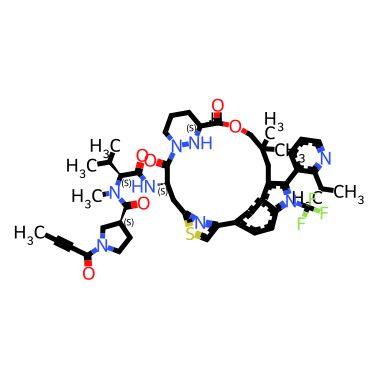 CC#CC(=O)N1CC[C@H](C(=O)N(C)[C@H](C(=O)N[C@H]2Cc3nc(cs3)-c3ccc4c(c3)c(c(-c3cccnc3C(C)C)n4C(F)(F)F)CC(C)(C)COC(=O)[C@@H]3CCCN(N3)C2=O)C(C)C)C1